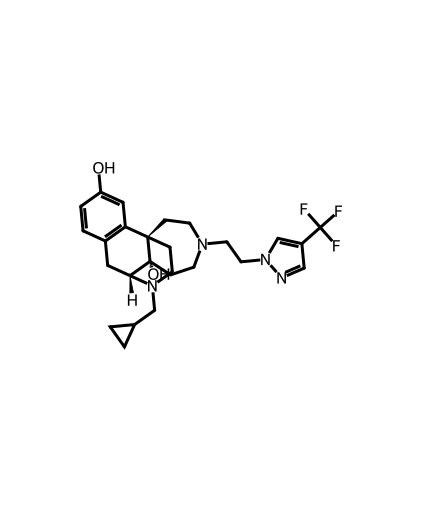 Oc1ccc2c(c1)[C@@]13CCN(CCn4cc(C(F)(F)F)cn4)CC[C@@]1(O)[C@@H](C2)N(CC1CC1)CC3